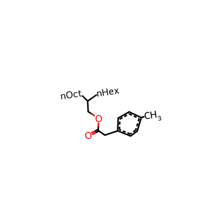 CCCCCCCCC(CCCCCC)COC(=O)Cc1ccc(C)cc1